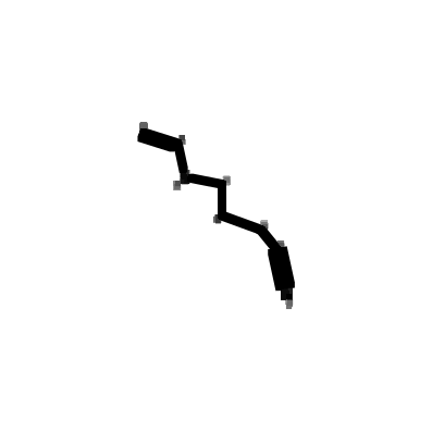 C=CSCC[CH]C#N